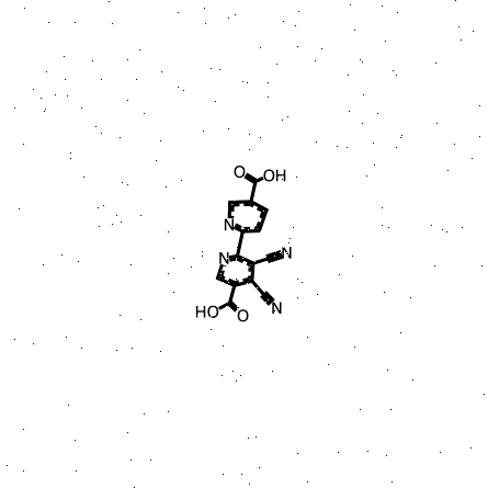 N#Cc1c(C(=O)O)cnc(-c2ccc(C(=O)O)cn2)c1C#N